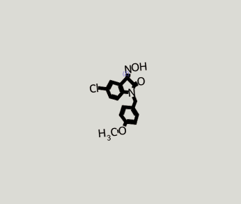 COc1ccc(CN2C(=O)/C(=N\O)c3cc(Cl)ccc32)cc1